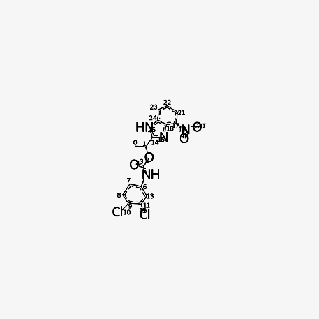 CC(OC(=O)Nc1ccc(Cl)c(Cl)c1)c1nc2c([N+](=O)[O-])cccc2[nH]1